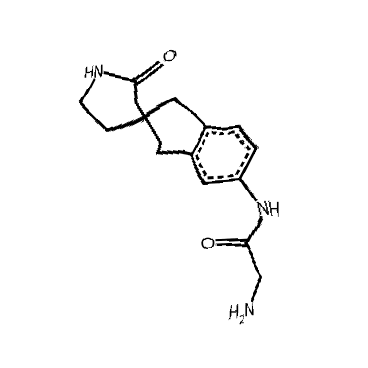 NCC(=O)Nc1ccc2c(c1)CC1(CCNC1=O)C2